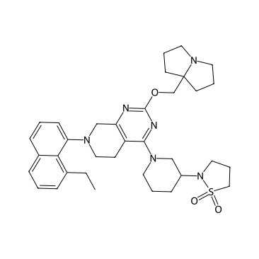 CCc1cccc2cccc(N3CCc4c(nc(OCC56CCCN5CCC6)nc4N4CCCC(N5CCCS5(=O)=O)C4)C3)c12